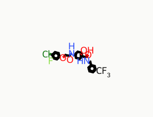 O=C(COc1ccc(Cl)c(F)c1)NC12CCC(C(=O)NCc3cccc(C(F)(F)F)c3)(CC1)C(O)C2